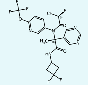 C[C@](C(=O)NC1CC(F)(F)C1)(c1cncnc1)N(C(=O)[C@H](F)Cl)c1ccc(OC(F)(F)F)nc1